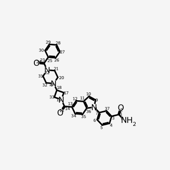 NC(=O)c1cccc(-n2ccc3cc(C(=O)N4CC(N5CCN(C(=O)c6ccccc6)CC5)C4)ccc32)c1